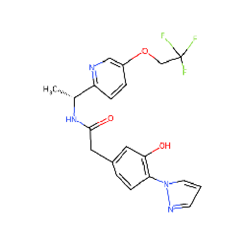 C[C@@H](NC(=O)Cc1ccc(-n2cccn2)c(O)c1)c1ccc(OCC(F)(F)F)cn1